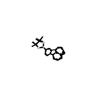 CC1(C)OB(c2ccc3c(c2)-c2cccc4cccc-3c24)OC1(I)I